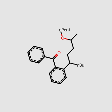 CCCCCOC(C)CCC(CCCC)c1ccccc1C(=O)c1ccccc1